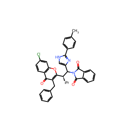 Cc1ccc(-c2nc(C([C@H](c3oc4cc(Cl)ccc4c(=O)c3Cc3ccccc3)C(C)C)N3C(=O)c4ccccc4C3=O)c[nH]2)cc1